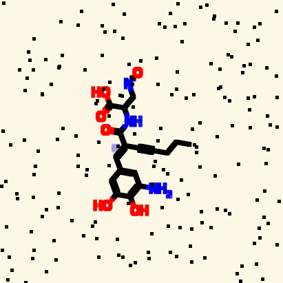 CCCC#C/C(=C\c1cc(N)c(O)c(O)c1)C(=O)NC(CN=O)C(=O)O